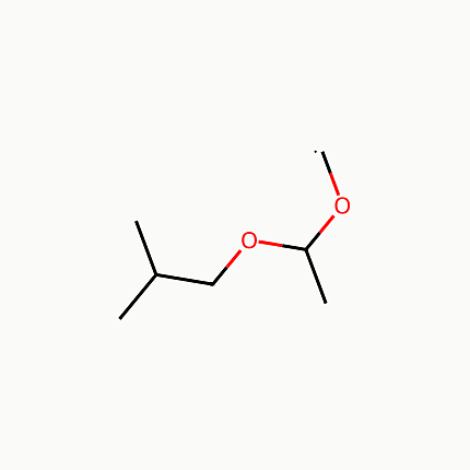 [CH2]OC(C)OCC(C)C